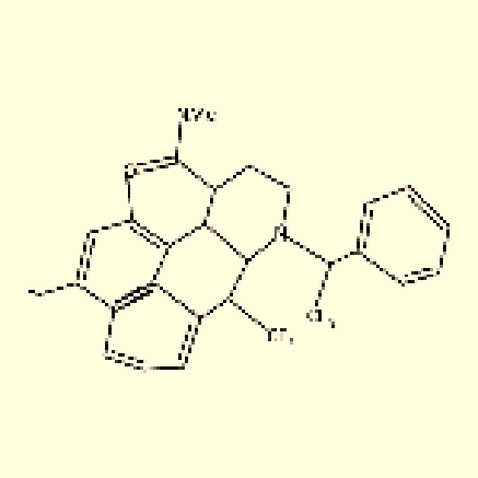 CNC(=O)C1CCN(C(c2ccccc2)C(F)(F)F)C(C(c2ccccc2)C(F)(F)F)C1c1ccc(F)cc1C